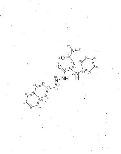 CN(C)C(=O)c1c(C(=O)N/N=C/c2ccc3ccccc3c2)[nH]c2ccccc12